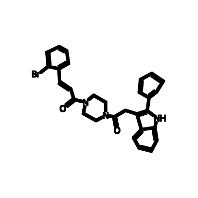 O=C(/C=C/c1ccccc1Br)N1CCN(C(=O)Cc2c(-c3ccccc3)[nH]c3ccccc23)CC1